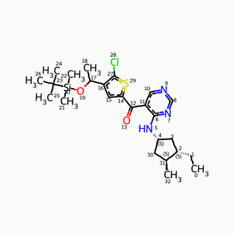 CC[C@H]1C[C@@H](Nc2ncncc2C(=O)c2cc(C(C)O[Si](C)(C)C(C)(C)C)c(Cl)s2)C[C@@H]1C